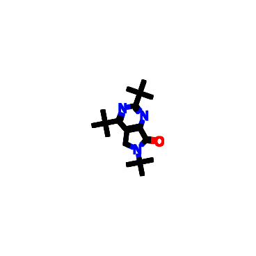 CC(C)(C)c1nc2c(c(C(C)(C)C)n1)CN(C(C)(C)C)C2=O